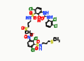 CSCCCNS(=O)(=O)c1c(Cl)ccc([N+](=O)[O-])c1Cl.C[S+]([O-])CCCNS(=O)(=O)c1c(Cl)ccc(NC(=O)Nc2cccc(Cl)c2Cl)c1O